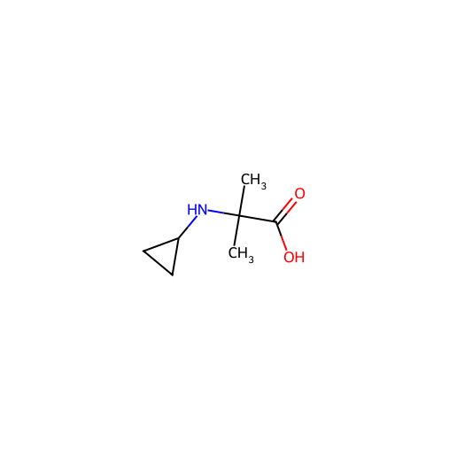 CC(C)(NC1CC1)C(=O)O